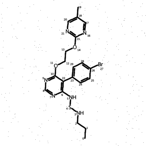 CCCNSNc1ncnc(OCCOc2ncc(C)cn2)c1-c1ccc(Br)cc1